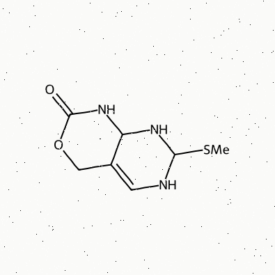 CSC1NC=C2COC(=O)NC2N1